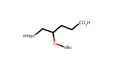 CCCCCCCCC(CCC(=O)O)OCCCC